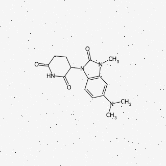 CN(C)c1ccc2c(c1)n(C)c(=O)n2C1CCC(=O)NC1=O